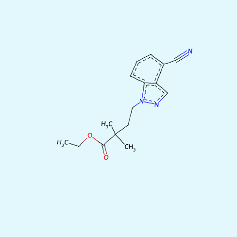 CCOC(=O)C(C)(C)CCn1ncc2c(C#N)cccc21